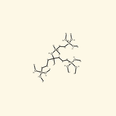 CO[Si](CCCC(F)(CCC[Si](OC)(OC)OC)O[Si](C)(C)CC[Si](OC)(OC)OC)(OC)OC